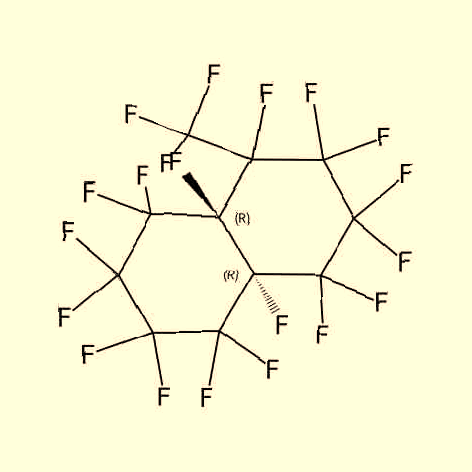 FC(F)(F)C1(F)C(F)(F)C(F)(F)C(F)(F)[C@@]2(F)C(F)(F)C(F)(F)C(F)(F)C(F)(F)[C@]12F